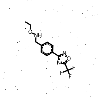 CCONCc1ccc(-c2noc(C(F)(F)F)n2)cc1